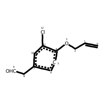 C=CCOc1ccc(CC=O)cc1Cl